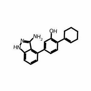 Nc1n[nH]c2cccc(-c3ccc(C4=CCCCC4)c(O)c3)c12